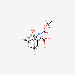 CC(C)(C)OC(=O)N[C@H](C(=O)O)[C@@]12C[C@@H]3C[C@@H](C[C@@](O)(C3)C1)C2